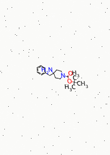 CC(C)(C)OC(=O)N1CCC(N)(Cc2ccccc2)CC1